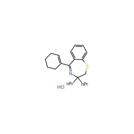 CCCC1(CCC)CSc2ccccc2C(C2=CCCCC2)=N1.Cl